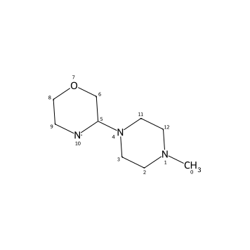 CN1CCN(C2COCC[N]2)CC1